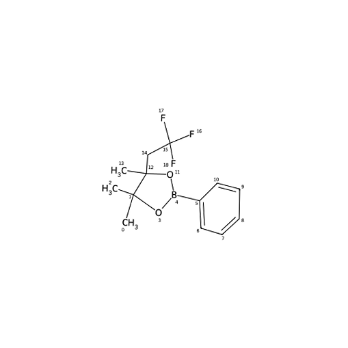 CC1(C)OB(c2ccccc2)OC1(C)CC(F)(F)F